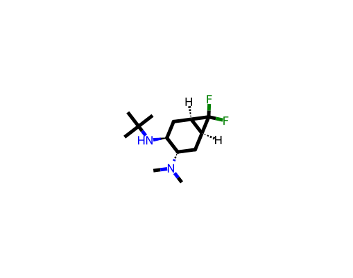 CN(C)[C@H]1C[C@H]2[C@@H](C[C@@H]1NC(C)(C)C)C2(F)F